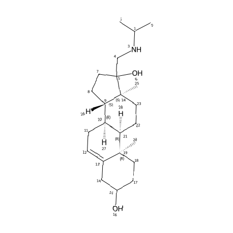 CC(C)NCC1(O)CC[C@H]2[C@@H]3CC=C4CC(O)CC[C@]4(C)[C@@H]3CC[C@@]21C